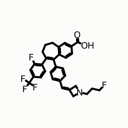 O=C(O)c1ccc2c(c1)CCCC(c1ccc(C(F)(F)F)cc1F)=C2c1ccc(C=C2CN(CCCF)C2)cc1